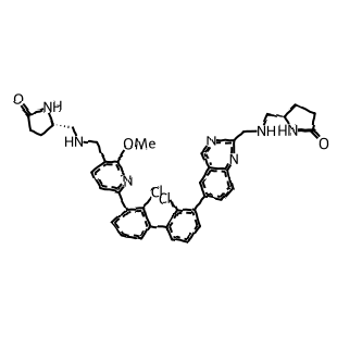 COc1nc(-c2cccc(-c3cccc(-c4ccc5nc(CNC[C@H]6CCC(=O)N6)ncc5c4)c3Cl)c2Cl)ccc1CNC[C@@H]1CCC(=O)N1